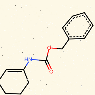 O=C(NC1=CCCCC1)OCc1ccccc1